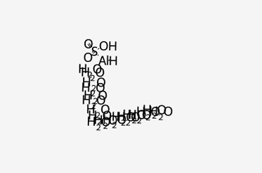 O.O.O.O.O.O.O.O.O.O.O.O.O.O.O.O.O.O.O=[S](=O)(O)[AlH]